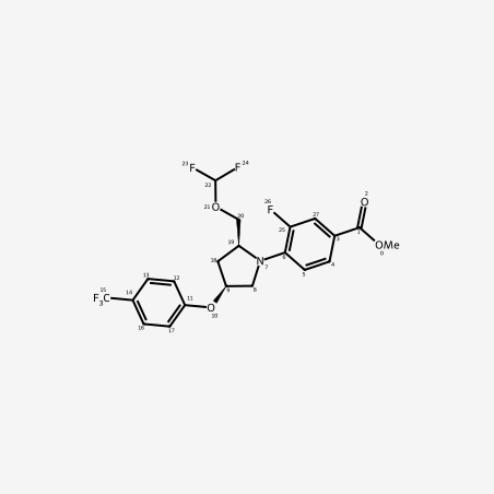 COC(=O)c1ccc(N2C[C@@H](Oc3ccc(C(F)(F)F)cc3)C[C@H]2COC(F)F)c(F)c1